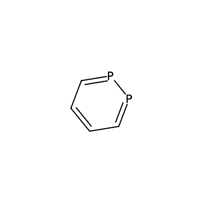 c1ccppc1